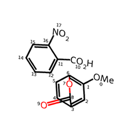 COc1cc2ccc1oc2=O.O=C(O)c1ccccc1[N+](=O)[O-]